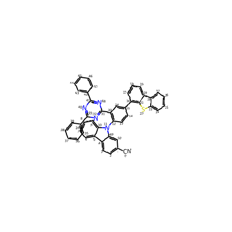 N#Cc1ccc2c3ccccc3n(-c3ccc(-c4cccc5c4sc4ccccc45)cc3-c3nc(-c4ccccc4)nc(-c4ccccc4)n3)c2c1